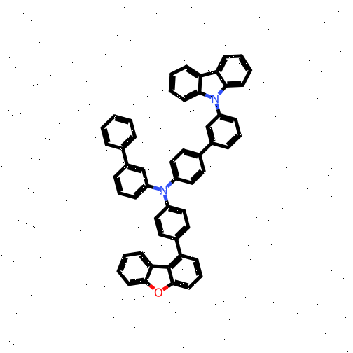 c1ccc(-c2cccc(N(c3ccc(-c4cccc(-n5c6ccccc6c6ccccc65)c4)cc3)c3ccc(-c4cccc5oc6ccccc6c45)cc3)c2)cc1